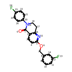 O=C1c2ccc(OCc3cccc(F)c3)nc2CCN1c1ccc(F)cc1